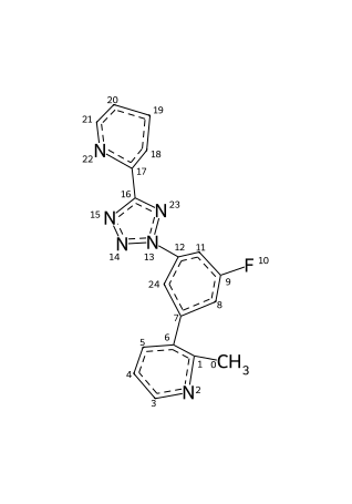 Cc1ncccc1-c1cc(F)cc(-n2nnc(-c3ccccn3)n2)c1